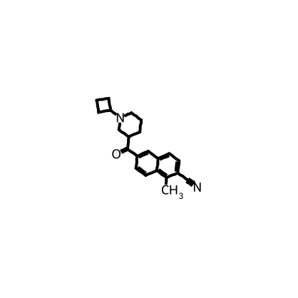 Cc1c(C#N)ccc2cc(C(=O)C3CCCN(C4CCC4)C3)ccc12